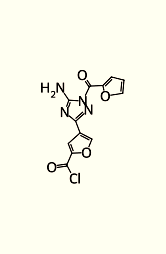 Nc1nc(-c2coc(C(=O)Cl)c2)nn1C(=O)c1ccco1